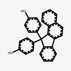 Oc1ccc(C2(c3ccc(O)cc3)c3ccccc3-c3ccc4ccccc4c32)cc1